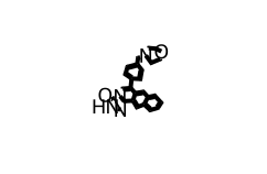 O=c1[nH]nc2c3cc4ccccc4cc3c(-c3ccc(CN4CCOCC4)cc3)cn12